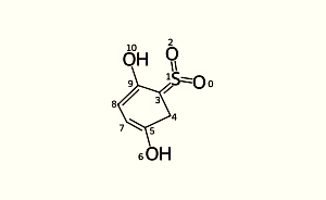 O=S(=O)=C1CC(O)=CC=C1O